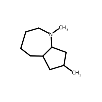 CC1CC2CCCCN(C)C2C1